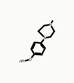 CCCOc1ccc(N2CCN(C)CC2)cc1